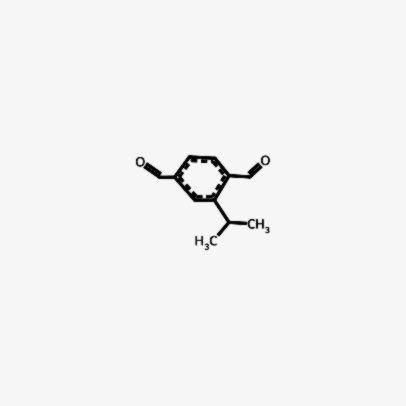 CC(C)c1cc(C=O)ccc1C=O